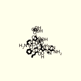 C=CCCC(=O)N(C1C(COP(=O)(O)O[C@H]2[C@@H](O)[C@H](n3ccc(N)nc3=O)O[C@@H]2COP(=O)(O)O)OC(n2cnc3c(N)ncnc32)C1O)[C@H](COc1ccccc1Cl)C(=O)O